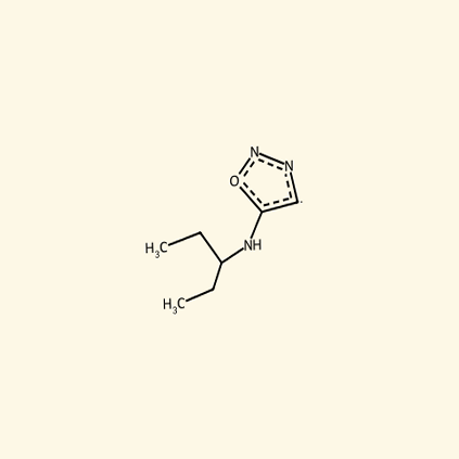 CCC(CC)Nc1[c]nno1